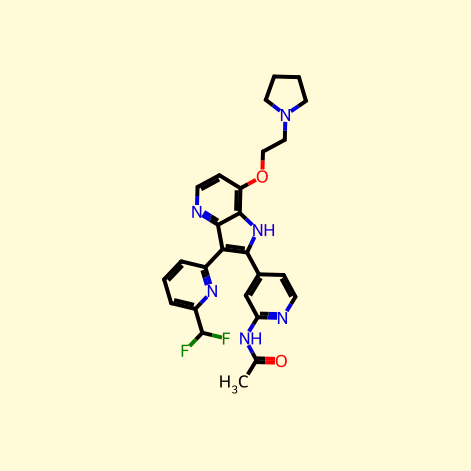 CC(=O)Nc1cc(-c2[nH]c3c(OCCN4CCCC4)ccnc3c2-c2cccc(C(F)F)n2)ccn1